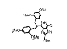 CCCCc1nc2c(N(Cc3ccc(OC)cc3OC)Cc3ccc(OC)cc3OC)nnc(Cl)c2[nH]1